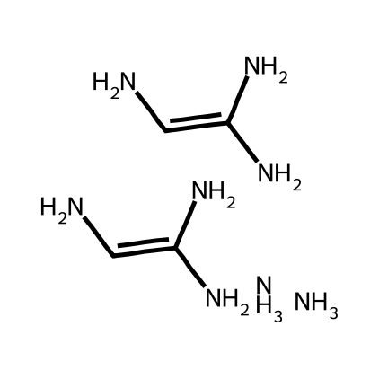 N.N.NC=C(N)N.NC=C(N)N